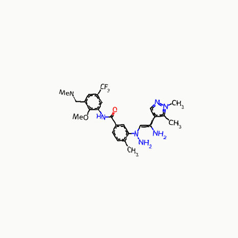 CNCc1cc(C(F)(F)F)cc(NC(=O)c2ccc(C)c(N(N)/C=C(\N)c3cnn(C)c3C)c2)c1OC